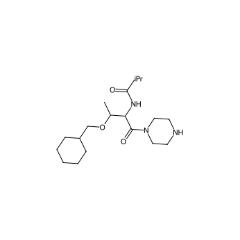 CC(C)C(=O)NC(C(=O)N1CCNCC1)C(C)OCC1CCCCC1